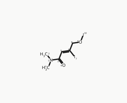 CN(C)C(=O)/C=C(\I)COI